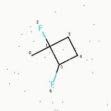 CC1(F)CCC1F